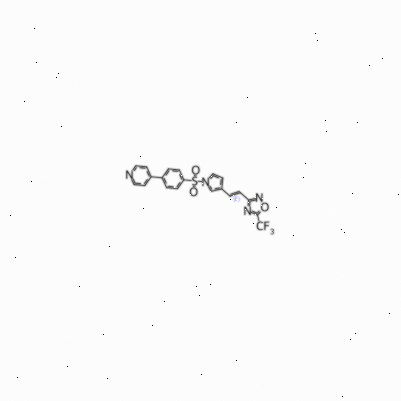 O=S(=O)(c1ccc(-c2ccncc2)cc1)n1ccc(/C=C/c2noc(C(F)(F)F)n2)c1